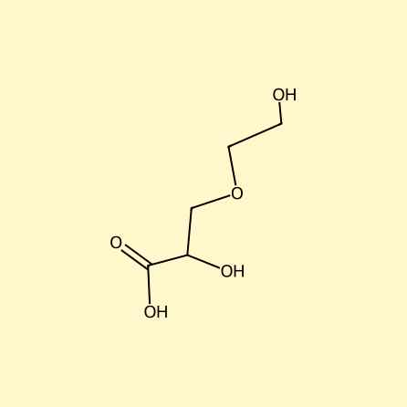 O=C(O)C(O)COCCO